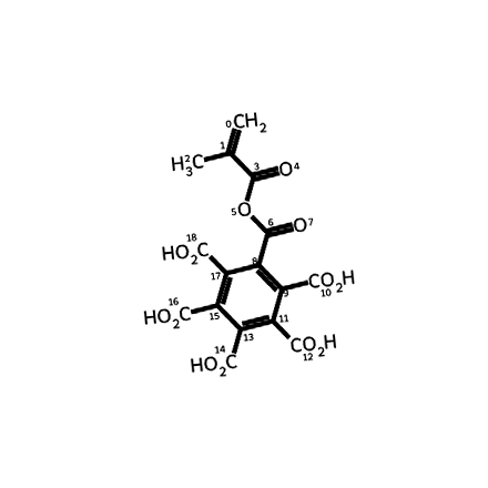 C=C(C)C(=O)OC(=O)c1c(C(=O)O)c(C(=O)O)c(C(=O)O)c(C(=O)O)c1C(=O)O